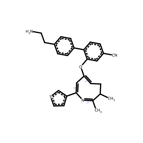 C/C1=N/C(c2ccsc2)=C\C(Oc2cc(C#N)ccc2-c2ccc(CCN)cc2)=C\CC1C